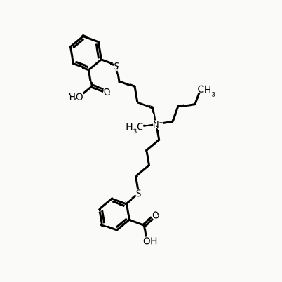 CCCC[N+](C)(CCCCSc1ccccc1C(=O)O)CCCCSc1ccccc1C(=O)O